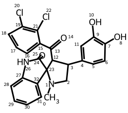 CN1CC(c2ccc(O)c(O)c2)C(C(=O)c2cccc(Cl)c2Cl)C12C(=O)Nc1ccccc12